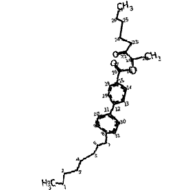 CCCCCCCCc1ccc(-c2ccc(C(=O)OC(C)C(=O)CCCCC)cc2)cc1